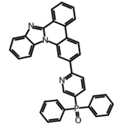 O=P(c1ccccc1)(c1ccccc1)c1ccc(-c2ccc3c4ccccc4c4nc5ccccc5n4c3c2)nc1